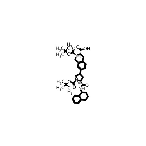 CC(C)(C)OC(=O)N1Cc2cc(C3C[C@@H](C(=O)NC4CCCc5ccccc54)N(C(=O)OC(C)(C)C)C3)ccc2C[C@H]1C(=O)O